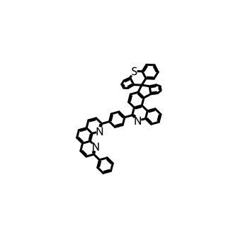 c1ccc(-c2ccc3ccc4ccc(-c5ccc(-c6nc7ccccc7c7c8c(ccc67)C6(c7ccccc7Sc7ccccc76)c6ccccc6-8)cc5)nc4c3n2)cc1